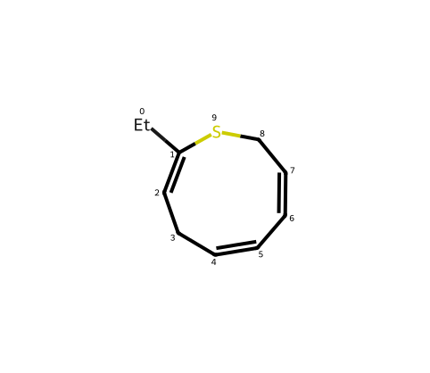 CC/C1=C/C/C=C\C=C/CS1